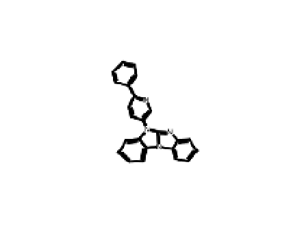 c1ccc(-c2ccc(-n3c4ccccc4n4c5ccccc5nc34)cn2)cc1